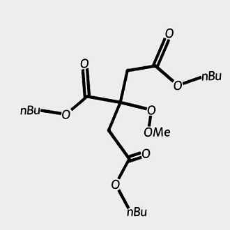 CCCCOC(=O)CC(CC(=O)OCCCC)(OOC)C(=O)OCCCC